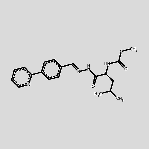 COC(=O)N[C@@H](CC(C)C)C(=O)N/N=C/c1ccc(-c2ccccn2)cc1